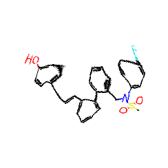 CS(=O)(=O)N(Cc1ccccc1-c1ccccc1/C=C/c1ccc(O)cc1)c1ccc(F)cc1